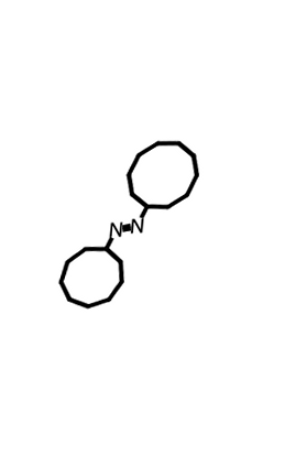 C1CCCCC(/N=N/C2CCCCCCCC2)CCCC1